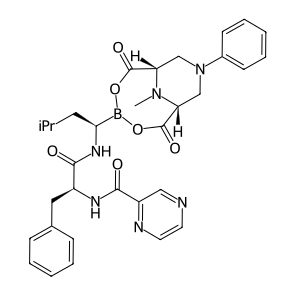 CC(C)C[C@H](NC(=O)[C@H](Cc1ccccc1)NC(=O)c1cnccn1)B1OC(=O)[C@H]2CN(c3ccccc3)C[C@@H](C(=O)O1)N2C